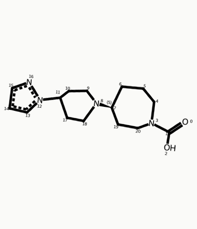 O=C(O)N1CCC[C@H](N2CCC(n3cccn3)CC2)CC1